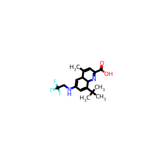 CC1=CC(C(=O)O)=NC2C(C(C)(C)C)=CC(NCC(F)(F)F)=CC12